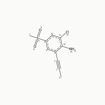 CC#Cc1cc(S(C)(=O)=O)cc(Cl)c1N